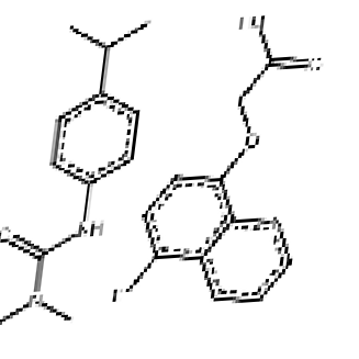 CC(C)c1ccc(NC(=O)N(C)C)cc1.O=C(O)COc1ccc(Cl)c2cccnc12